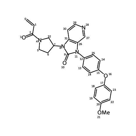 C=CC(=O)N1CCC(n2c(=O)n(-c3ccc(Oc4ccc(OC)cc4)cc3)c3cnccc32)C1